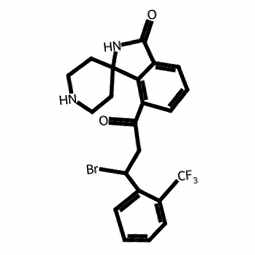 O=C(CC(Br)c1ccccc1C(F)(F)F)c1cccc2c1C1(CCNCC1)NC2=O